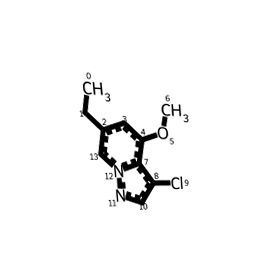 CCc1cc(OC)c2c(Cl)cnn2c1